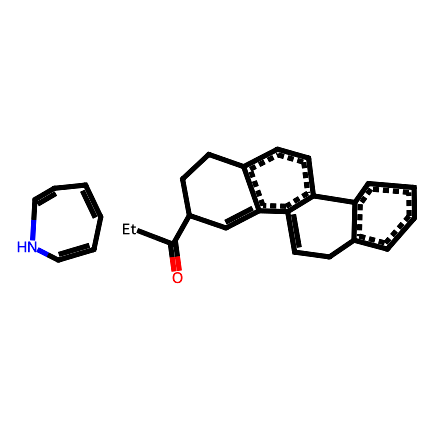 C1=CC=CNC=C1.CCC(=O)C1C=c2c(ccc3c2=CCc2ccccc2-3)CC1